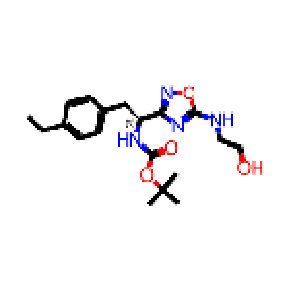 CCc1ccc(C[C@H](NC(=O)OC(C)(C)C)c2noc(NCCO)n2)cc1